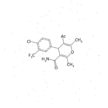 CC(=O)C1=C(C)OC(C)=C(C(N)=O)C1c1ccc(Cl)c(C(F)(F)F)c1